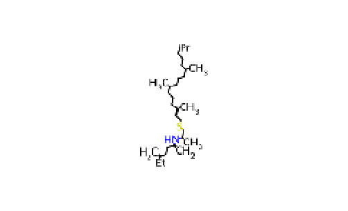 C=C(CC)CCC(=C)NC(C)CSC/C=C(\C)CCCC(C)CCCC(C)CCCC(C)C